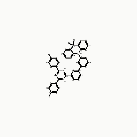 Cc1ccc(-c2nc(-c3ccc(C)cc3)nc(-c3cccc(-c4cccc(N5c6ccccc6C(C)(C)c6ccccc65)c4)c3)n2)cc1